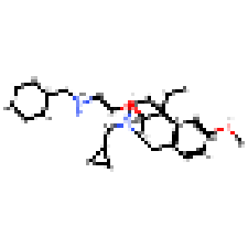 CCC12CCN(CC3CC3)C(Cc3ccc(OC)cc31)C2OCCNCC1CCCCC1